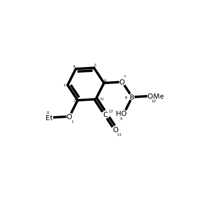 CCOC1=CC=CC(OB(O)OC)C1=C=O